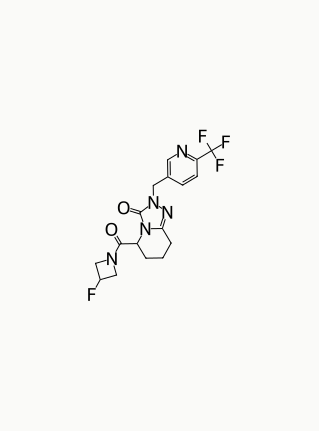 O=C(C1CCCc2nn(Cc3ccc(C(F)(F)F)nc3)c(=O)n21)N1CC(F)C1